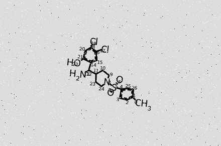 Cc1ccc(S(=O)(=O)N2CCC(C(N)c3cc(Cl)c(Cl)cc3O)CC2)cc1